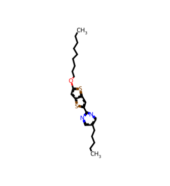 CCCCCCCCCOc1cc2sc(-c3ncc(CCCCC)cn3)cc2s1